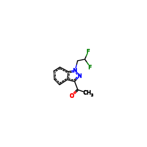 CC(=O)c1nn(CC(F)F)c2ccccc12